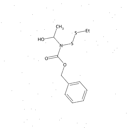 CCSSN(C(=O)OCc1ccccc1)C(C)O